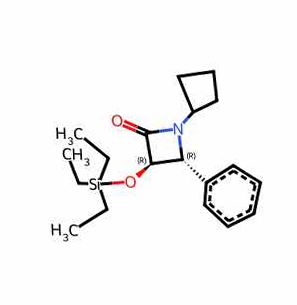 CC[Si](CC)(CC)O[C@H]1C(=O)N(C2CCC2)[C@@H]1c1ccccc1